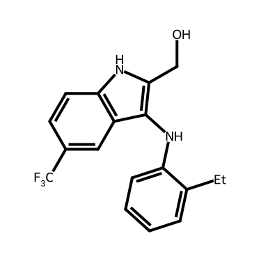 CCc1ccccc1Nc1c(CO)[nH]c2ccc(C(F)(F)F)cc12